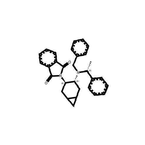 C[C@H](c1ccccc1)N(Cc1ccccc1)[C@@H]1CC2CC2C[C@H]1N1C(=O)c2ccccc2C1=O